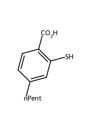 CCCCCc1ccc(C(=O)O)c(S)c1